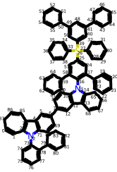 C1#Cc2c(c3cc(-c4ccc5c(c4)c4c(n5-c5c(-c6c#cccc6)cc(S(c6ccccc6)(c6ccccc6)c6cc(-c7ccccc7)cc(-c7ccccc7)c6)cc5-c5ccccc5)CCC=C4)ccc3n2-c2ccccc2C2=CC=CCC2)C=CC1